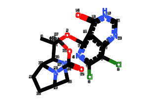 CC(Oc1nc(Cl)c(Cl)c2nc[nH]c(=O)c12)C1NCC2CCC1N2C(=O)OC(C)(C)C